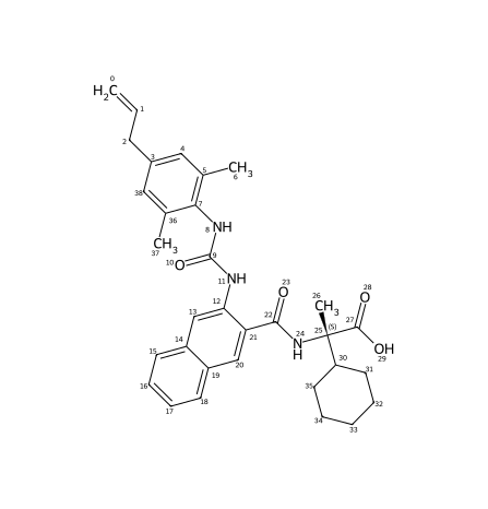 C=CCc1cc(C)c(NC(=O)Nc2cc3ccccc3cc2C(=O)N[C@](C)(C(=O)O)C2CCCCC2)c(C)c1